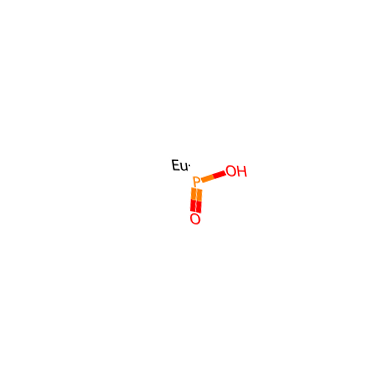 O=PO.[Eu]